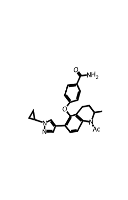 CC(=O)N1c2ccc(-c3cnn(C4CC4)c3)c(Oc3ccc(C(N)=O)cc3)c2CCC1C